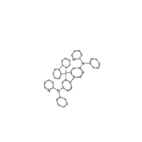 c1ccc(N(c2ccc3c(c2)C2(c4ccccc4-c4ccccc42)c2cc(N(c4ccccc4)c4ccccn4)ccc2-3)c2ccccn2)cc1